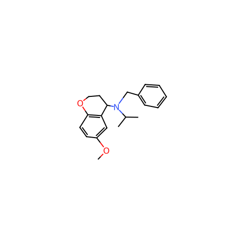 COc1ccc2c(c1)C(N(Cc1ccccc1)C(C)C)CCO2